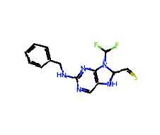 FC(F)N1c2nc(NCc3ccccc3)ncc2NC1C=S